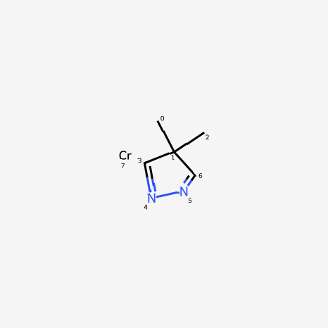 CC1(C)C=NN=C1.[Cr]